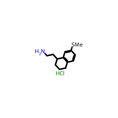 CSc1ccc2c(c1)C(CCN)CCC2.Cl